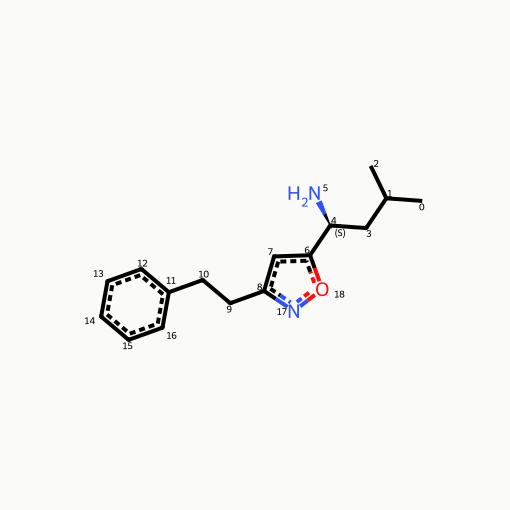 CC(C)C[C@H](N)c1cc(CCc2ccccc2)no1